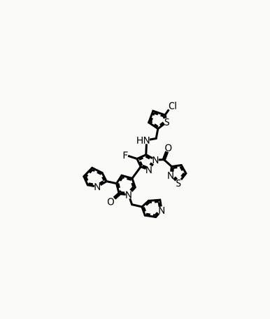 O=C(c1ccsn1)n1nc(-c2cc(-c3ccccn3)c(=O)n(Cc3ccncc3)c2)c(F)c1NCc1ccc(Cl)s1